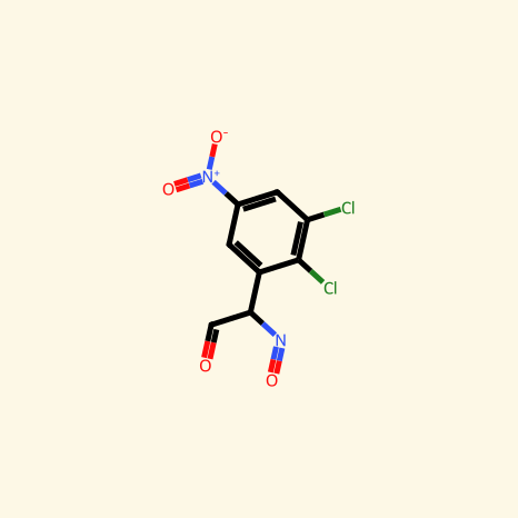 O=CC(N=O)c1cc([N+](=O)[O-])cc(Cl)c1Cl